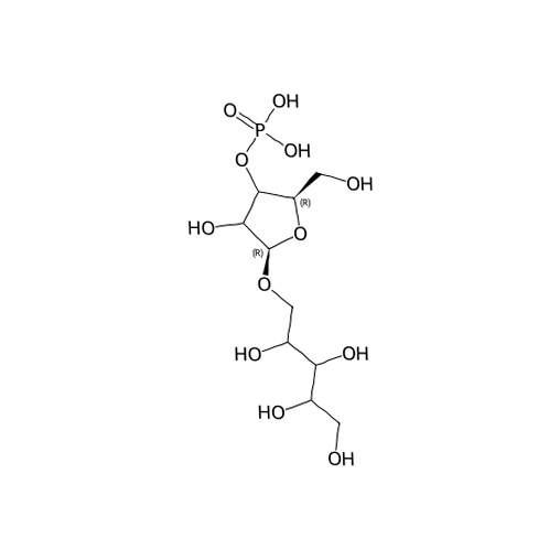 O=P(O)(O)OC1C(O)[C@H](OCC(O)C(O)C(O)CO)O[C@@H]1CO